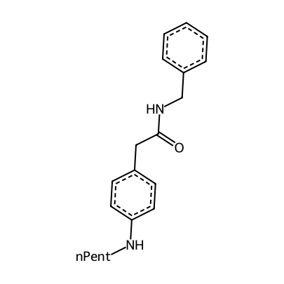 CCCCCNc1ccc(CC(=O)NCc2ccccc2)cc1